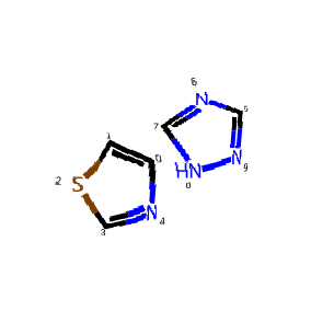 c1cscn1.c1nc[nH]n1